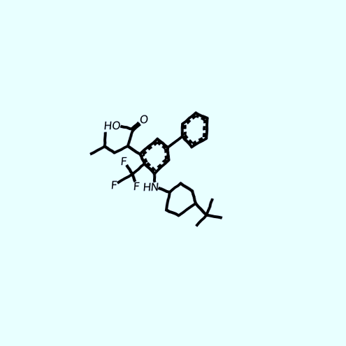 CC(C)CC(C(=O)O)c1cc(-c2ccccc2)cc(NC2CCC(C(C)(C)C)CC2)c1C(F)(F)F